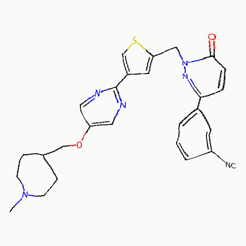 [C-]#[N+]c1cccc(-c2ccc(=O)n(Cc3cc(-c4ncc(OCC5CCN(C)CC5)cn4)cs3)n2)c1